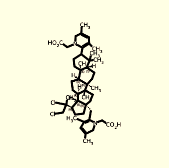 CC1=CC(C)=C(C[C@]23CC[C@@H](C(C)(Cl)CCl)[C@@H]2[C@H]2CC[C@@H]4[C@@]5(C)CCC(C6=C(C)C=C(C)CN6CC(=O)O)C(C)(C)[C@@H]5CC[C@@]4(C)[C@]2(C)CC3)N(CC(=O)O)C1